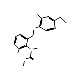 CCc1ccc(OCc2cccc(Cl)c2N(O)C(=O)SC)c(C)c1